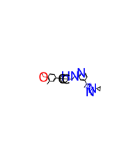 C=NN(/C=C(\C)c1ccnc(NCC23CCC(c4ccc(OC)c(C)c4)(CC2)CC3)c1)C1CC1